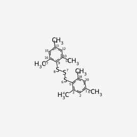 Cc1cc(C)c(SSSc2c(C)cc(C)cc2C)c(C)c1